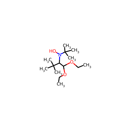 CCOC(OCC)C(N(O)C(C)(C)C)C(C)(C)C